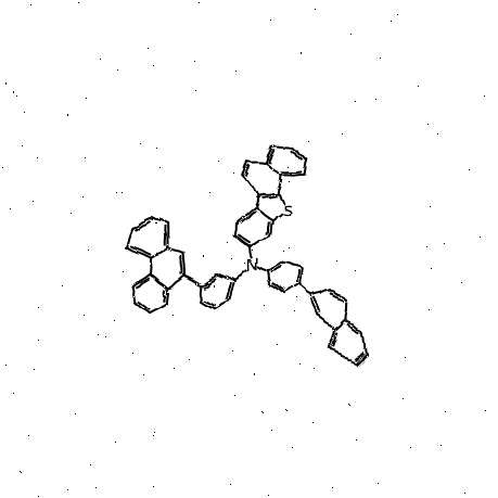 c1cc(-c2cc3ccccc3c3ccccc23)cc(N(c2ccc(-c3ccc4ccccc4c3)cc2)c2ccc3c(c2)sc2c4ccccc4ccc32)c1